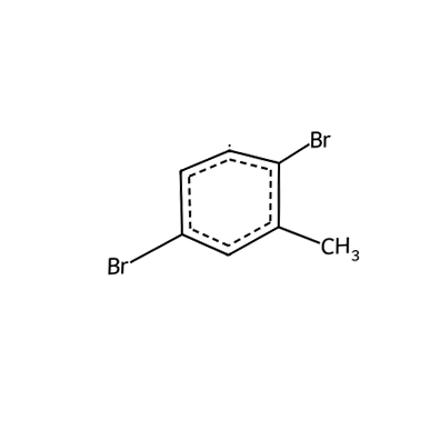 Cc1cc(Br)c[c]c1Br